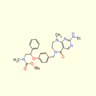 CCNc1ncc2c(n1)N(C)CCN(Cc1ccc(OC(CN(C)C(=O)OC(C)(C)C)c3ccccc3)cc1)C2=O